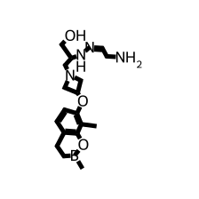 CB1CCc2ccc(OC3CN(CC(CO)N/N=C\CN)C3)c(C)c2O1